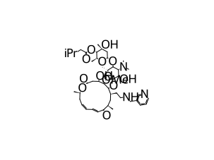 CO[C@@H]1[C@@H](O[C@@H]2O[C@H](C)[C@@H](O[C@H]3C[C@@](C)(O)[C@@H](OC(=O)CC(C)C)[C@H](C)O3)[C@H](N(C)C)[C@H]2O)[C@@H](CCNCc2cccnc2)C[C@@H](C)C(=O)/C=C/C=C\C[C@@H](C)OC(=O)C[C@H]1O